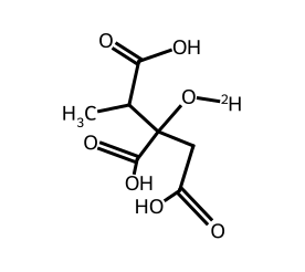 [2H]OC(CC(=O)O)(C(=O)O)C(C)C(=O)O